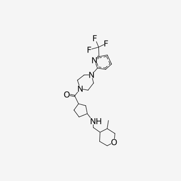 CC1COCCC1CNC1CCC(C(=O)N2CCN(c3cccc(C(F)(F)F)n3)CC2)C1